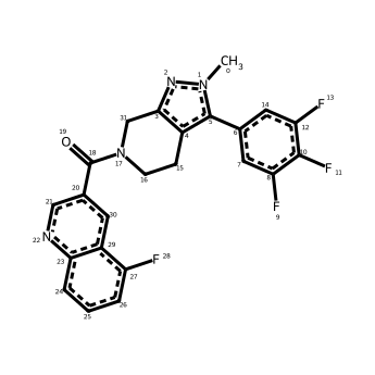 Cn1nc2c(c1-c1cc(F)c(F)c(F)c1)CCN(C(=O)c1cnc3cccc(F)c3c1)C2